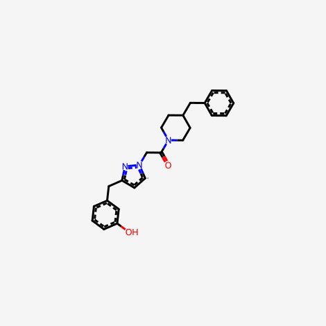 O=C(Cn1[c]cc(Cc2cccc(O)c2)n1)N1CCC(Cc2ccccc2)CC1